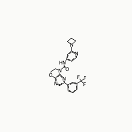 O=C(Nc1ccnc(N2CCC2)c1)N1CCOc2ncc(-c3cccc(C(F)(F)F)c3)nc21